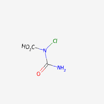 NC(=O)N(Cl)C(=O)O